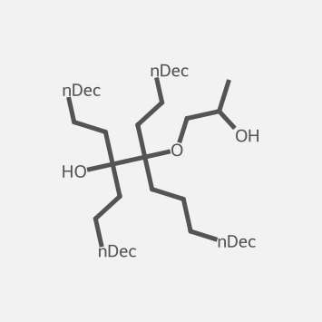 CCCCCCCCCCCCCC(CCCCCCCCCCCC)(OCC(C)O)C(O)(CCCCCCCCCCCC)CCCCCCCCCCCC